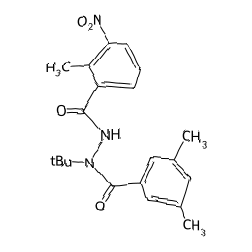 Cc1cc(C)cc(C(=O)N(NC(=O)c2cccc([N+](=O)[O-])c2C)C(C)(C)C)c1